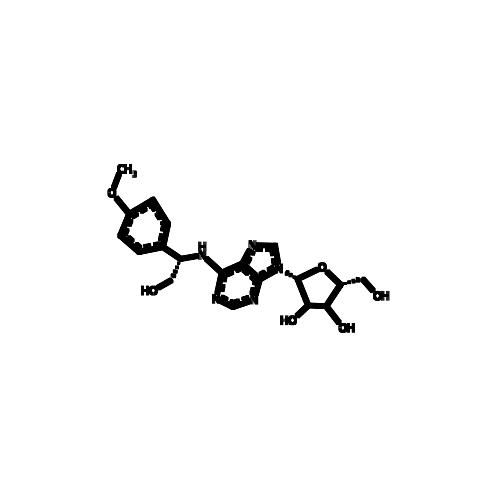 COc1ccc([C@@H](CO)Nc2ncnc3c2ncn3[C@@H]2O[C@H](CO)C(O)C2O)cc1